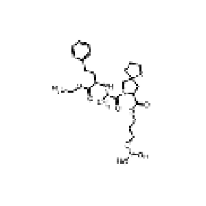 CCOC(=O)C(CCc1ccccc1)NC(C)C(=O)N1CC2(CC1C(=O)OCCCON(O)O)SCCS2